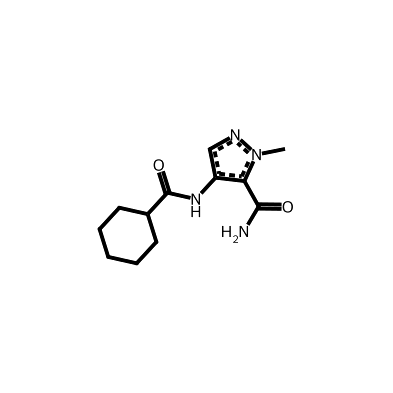 Cn1ncc(NC(=O)C2CCCCC2)c1C(N)=O